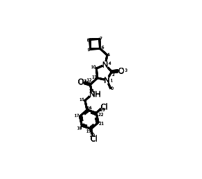 CN1C(=O)N(CC2CCC2)CC1C(=O)NCc1ccc(Cl)cc1Cl